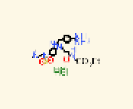 CCOC(=O)CNC(=O)CCCn1c(Cc2ccc(C(=N)N)cc2)nc2cc(N(CCN(C)C)S(C)(=O)=O)ccc21.Cl.Cl